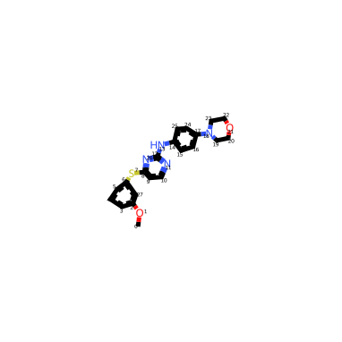 COc1cccc(Sc2ccnc(Nc3ccc(N4CCOCC4)cc3)n2)c1